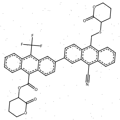 N#Cc1c2ccccc2c(CSC2CCCOC2=O)c2ccc(-c3ccc4c(C(=O)OC5CCCOC5=O)c5ccccc5c(C(F)(F)F)c4c3)cc12